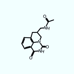 CC(=O)NCC1Cc2cccc3c(=O)[nH]c(=O)n(c23)C1